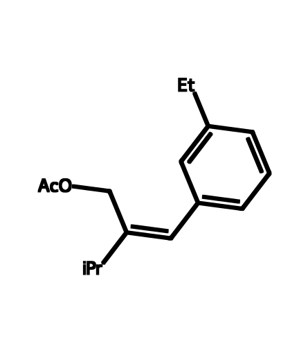 CCc1cccc(C=C(COC(C)=O)C(C)C)c1